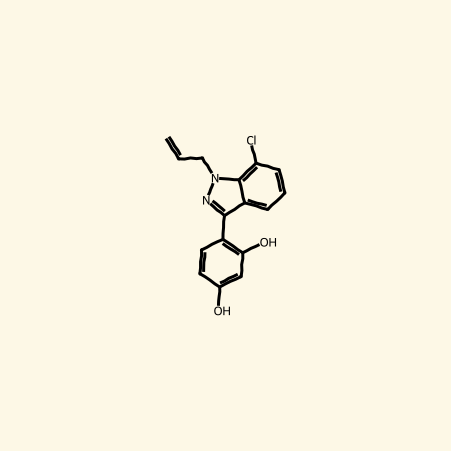 C=CCn1nc(-c2ccc(O)cc2O)c2cccc(Cl)c21